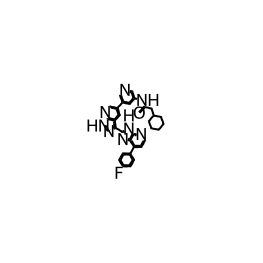 O=C(CC1CCCCC1)Nc1cncc(-c2cnc3[nH]nc(-c4nc5c(-c6ccc(F)cc6)ccnc5[nH]4)c3c2)c1